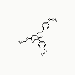 CCOC(=O)CN(CCc1ccc(OC)cc1)S(=O)(=O)c1ccc(OC)cc1